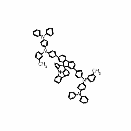 Cc1cccc(N(c2ccc(-c3ccc4c(c3)C3(c5cc(-c6ccc(N(c7ccc(N(c8ccccc8)c8ccccc8)cc7)c7cccc(C)c7)cc6)ccc5-4)c4ccccc4-n4c5ccccc5c5cccc3c54)cc2)c2ccc(N(c3ccccc3)c3ccccc3)cc2)c1